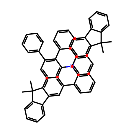 CC1(C)c2ccccc2-c2cc(-c3ccccc3N(c3ccc4c(c3)C(C)(C)c3ccccc3-4)c3cccc(-c4ccccc4)c3-c3ccccc3-c3ccccc3)ccc21